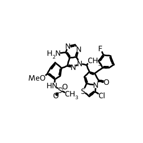 COc1ccc(-c2nn(C(C)c3cc4scc(Cl)n4c(=O)c3-c3cccc(F)c3)c3ncnc(N)c23)cc1NS(C)(=O)=O